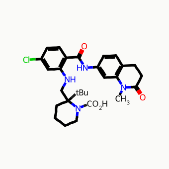 CN1C(=O)CCc2ccc(NC(=O)c3ccc(Cl)cc3NCC3(C(C)(C)C)CCCCN3C(=O)O)cc21